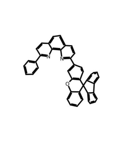 c1ccc(-c2ccc3ccc4ccc(-c5ccc6c(c5)Oc5ccccc5C65c6ccccc6-c6ccccc65)nc4c3n2)cc1